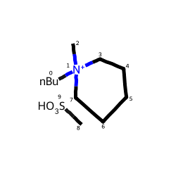 CCCC[N+]1(C)CCCCC1.CS(=O)(=O)O